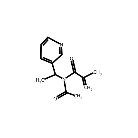 C=C(C)C(=O)N(C(C)=O)C(C)c1cccnc1